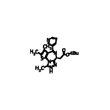 Cc1sc2c(c1C)C(c1cccnc1)=N[C@@H](CC(=O)OC(C)(C)C)C1=NNC(C)N12